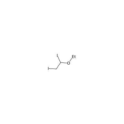 CCOC(I)CI